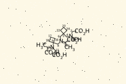 CC(C)N(CC(=O)O)CC1(CN(CC2(N(CC(=O)O)C(C)C(=O)O)CCC2)C(C)C(=O)O)CCC1